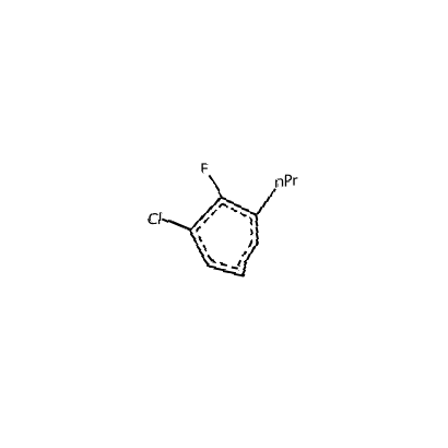 [CH2]CCc1cccc(Cl)c1F